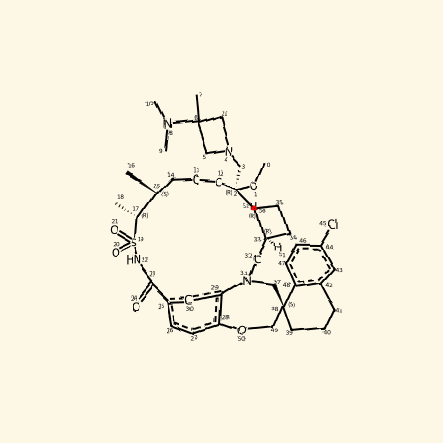 CO[C@]1(CN2CC(C)(N(C)C)C2)CCC[C@H](C)[C@@H](C)S(=O)(=O)NC(=O)c2ccc3c(c2)N(C[C@@H]2CC[C@H]21)C[C@@]1(CCCc2cc(Cl)ccc21)CO3